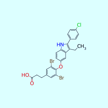 CCc1c(-c2ccc(Cl)cc2)[nH]c2ccc(Oc3c(Br)cc(CCC(=O)O)cc3Br)cc12